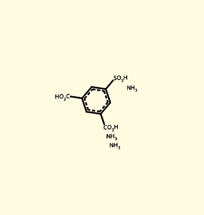 N.N.N.O=C(O)c1cc(C(=O)O)cc(S(=O)(=O)O)c1